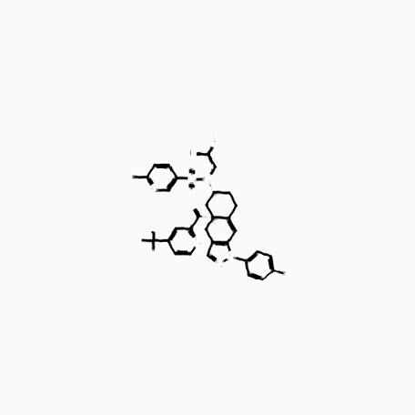 O=C(c1cc(C(F)(F)F)ccn1)[C@]12Cc3cnn(-c4ccc(F)cc4)c3C=C1CC[C@H](N(CC(F)F)S(=O)(=O)c1ccc(Cl)nc1)C2